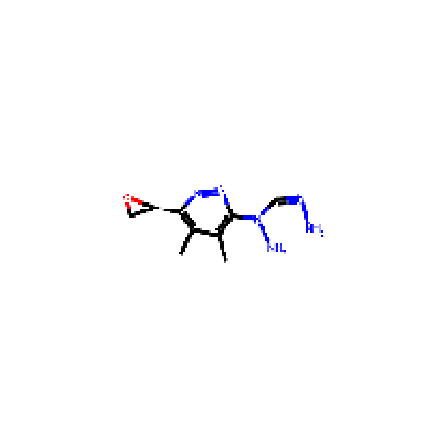 Cc1c([C@H]2CO2)nnc(N(N)/C=N\N)c1C